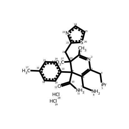 CC1=NC(CC(C)C)=C(CN)C(C(N)=O)(c2ccc(C)cc2)C1(Cc1nccs1)C(=O)O.Cl.Cl